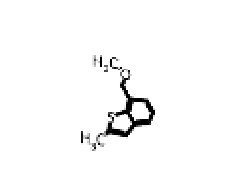 COCc1cccc2cc(C)sc12